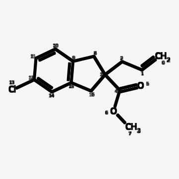 C=CCC1(C(=O)OC)Cc2ccc(Cl)cc2C1